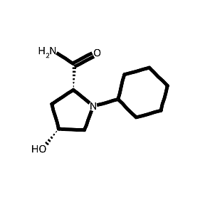 NC(=O)[C@H]1C[C@@H](O)CN1C1CCCCC1